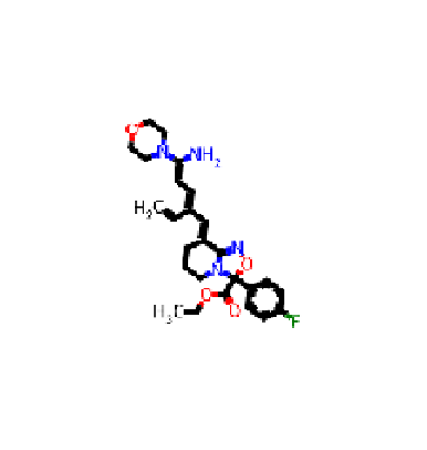 C=CC(=C\C=C(/N)N1CCOCC1)/C=C1\CCCN2C1=NOC2(C(=O)OCC)c1ccc(F)cc1